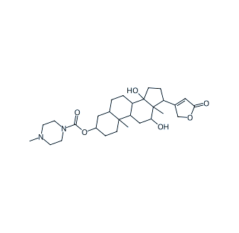 CN1CCN(C(=O)OC2CCC3(C)C(CCC4C3CC(O)C3(C)C(C5=CC(=O)OC5)CCC43O)C2)CC1